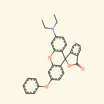 CCN(CC)c1ccc2c(c1)Oc1cc(Oc3ccccc3)ccc1C21OC(=O)c2ccccc21